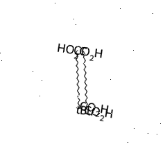 CC(C)(C)C(CCCCCCCCCCCCCCCCCC(=O)O)C(=O)O.O=C(O)CCCCCCCCCCCCCCCCCCC(=O)O